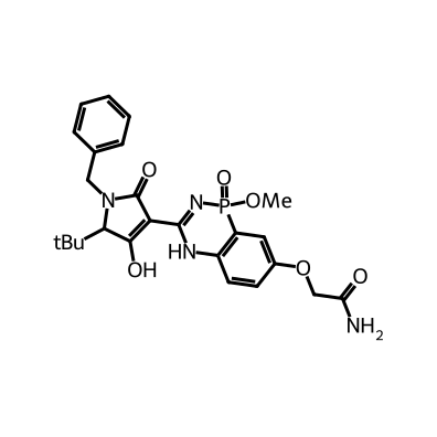 COP1(=O)N=C(C2=C(O)C(C(C)(C)C)N(Cc3ccccc3)C2=O)Nc2ccc(OCC(N)=O)cc21